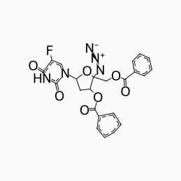 [N-]=[N+]=NC1(COC(=O)c2ccccc2)OC(n2cc(F)c(=O)[nH]c2=O)CC1OC(=O)c1ccccc1